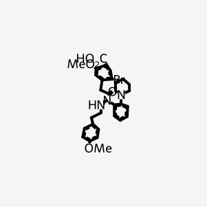 COc1ccc(CCNN(C(=O)Cc2cc(OC)c(C(=O)O)cc2Br)c2ccccc2N2CCCCC2)cc1